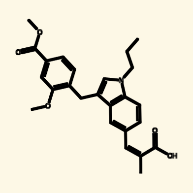 CCCn1cc(Cc2ccc(C(=O)OC)cc2OC)c2cc(/C=C(/C)C(=O)O)ccc21